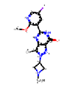 CCCCOc1ncc(I)cc1-c1nc2c(CC)n(C3CN(C(=O)O)C3)nc2c(=O)[nH]1